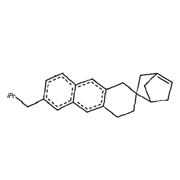 CC(C)Cc1ccc2cc3c(cc2c1)CCC1(CC2=CCC1C2)C3